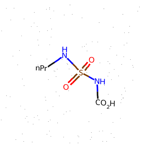 CCCNS(=O)(=O)NC(=O)O